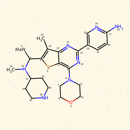 CNC(c1sc2c(N3CCOCC3)nc(-c3ccc(N)nc3)nc2c1C)N(C)C1CCNCC1